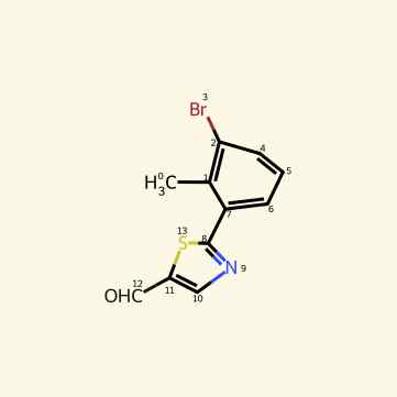 Cc1c(Br)cccc1-c1ncc(C=O)s1